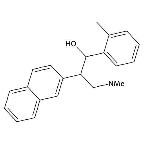 CNCC(c1ccc2ccccc2c1)C(O)c1ccccc1C